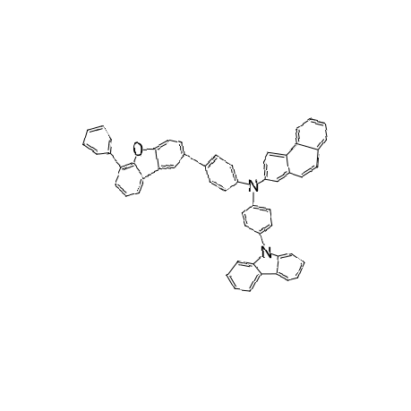 c1ccc(-c2cccc3c2oc2ccc(-c4ccc(N(c5ccc(-n6c7ccccc7c7ccccc76)cc5)c5ccc6c(ccc7ccccc76)c5)cc4)cc23)cc1